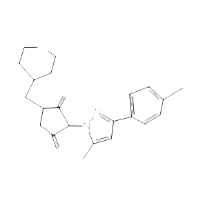 Cc1ccc(-c2cc(C)n(C3C(=O)CC(CC4CCOCC4)C3=O)n2)cc1